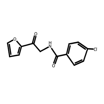 O=C(NCC(=O)c1ccco1)c1ccc(Cl)cc1